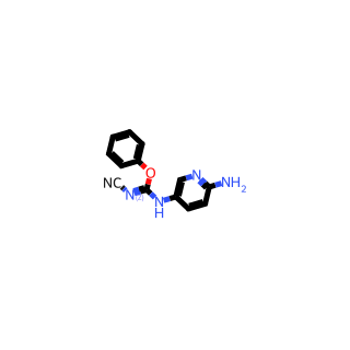 N#C/N=C(/Nc1ccc(N)nc1)Oc1ccccc1